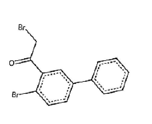 O=C(CBr)c1cc(-c2ccccc2)ccc1Br